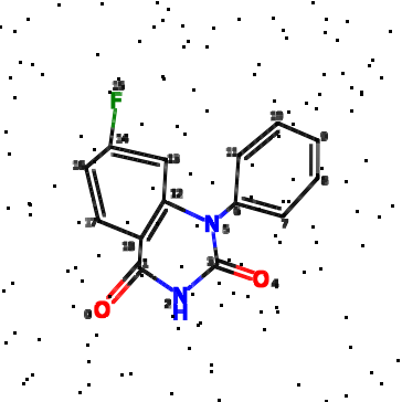 O=c1[nH]c(=O)n(-c2ccccc2)c2cc(F)ccc12